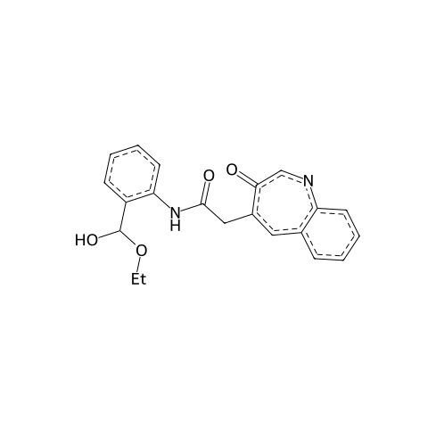 CCOC(O)c1ccccc1NC(=O)Cc1cc2ccccc2ncc1=O